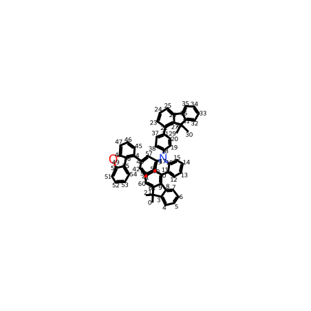 CC1(C)c2ccccc2-c2c(-c3ccccc3N(c3ccc(-c4cccc5c4C(C)(C)c4ccccc4-5)cc3)c3cccc(-c4cccc5oc6ccccc6c45)c3)cccc21